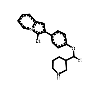 CCc1c(-c2ccc(OC(CC)C3CCCNC3)cc2)cc2ccccn12